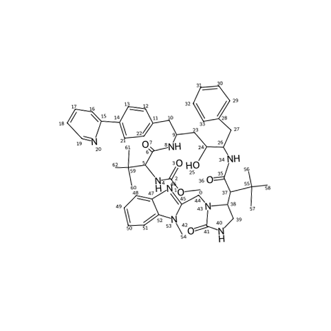 COC(=O)NC(C(=O)NC(Cc1ccc(-c2ccccn2)cc1)CC(O)C(Cc1ccccc1)NC(=O)C(C1CNC(=O)N1Cc1nc2ccccc2n1C)C(C)(C)C)C(C)(C)C